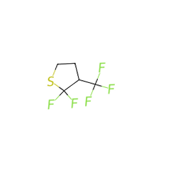 FC(F)(F)C1CCSC1(F)F